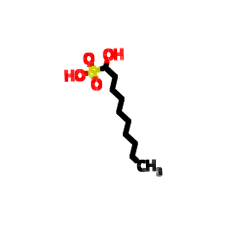 CCCCCCCCCC(O)S(=O)(=O)O